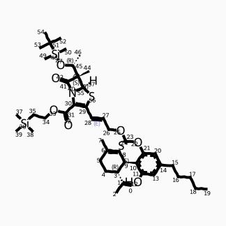 C=C(C)[C@@H]1CCC(C)=C[C@H]1c1c(O)cc(CCCCC)cc1OC(=S)OC/C=C/C1=C(C(=O)OCC[Si](C)(C)C)N2C(=O)[C@](C)([C@@H](C)O[Si](C)(C)C(C)(C)C)[C@H]2S1